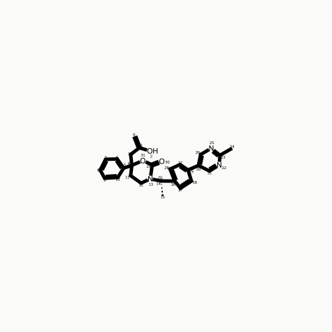 C=C(O)CC1(c2ccccc2)CCN([C@@H](C)c2ccc(-c3cnc(C)nc3)cc2)C(=O)O1